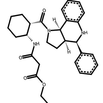 CCOC(=O)CC(=O)N[C@@H]1CCCC[C@@H]1C(=O)N1CC[C@@H]2[C@H](c3ccccc3)Nc3ccccc3[C@@H]21